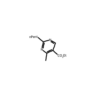 CCCCCc1ncc(C(=O)OCC)c(C)n1